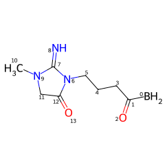 BC(=O)CCCN1C(=N)N(C)CC1=O